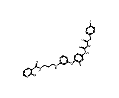 O=C(Cc1ccc(F)cc1)NC(=O)Nc1ccc(Oc2ccnc(NCCCNC(=O)c3cccnc3F)c2)c(F)c1